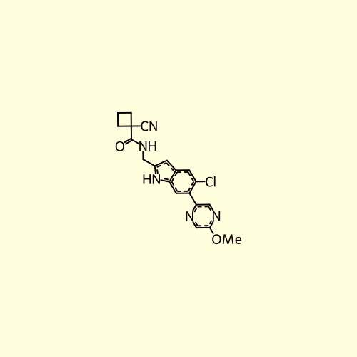 COc1cnc(-c2cc3[nH]c(CNC(=O)C4(C#N)CCC4)cc3cc2Cl)cn1